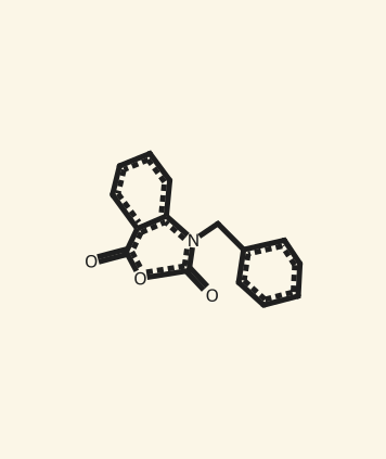 O=c1oc(=O)n(Cc2ccccc2)c2ccccc12